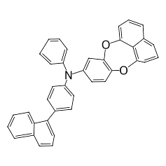 c1ccc(N(c2ccc(-c3cccc4ccccc34)cc2)c2ccc3c(c2)Oc2cccc4cccc(c24)O3)cc1